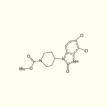 CC(C)(C)OC(=O)N1CCC(n2c(=O)[nH]c3c(Cl)c(Cl)ccc32)CC1